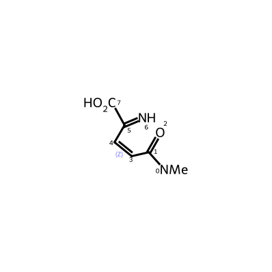 CNC(=O)/C=C\C(=N)C(=O)O